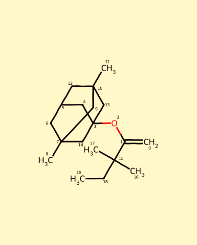 C=C(OC12CC3CC(C)(CC(C)(C3)C1)C2)C(C)(C)CC